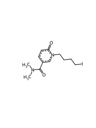 CN(C)C(=O)c1ccc(=O)n(CCCCI)c1